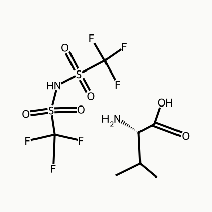 CC(C)[C@H](N)C(=O)O.O=S(=O)(NS(=O)(=O)C(F)(F)F)C(F)(F)F